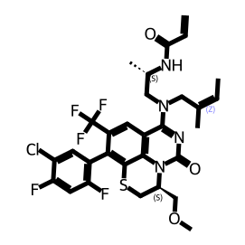 C=CC(=O)N[C@@H](C)CN(C/C(C)=C\C)c1nc(=O)n2c3c(c(-c4cc(Cl)c(F)cc4F)c(C(F)(F)F)cc13)SC[C@@H]2COC